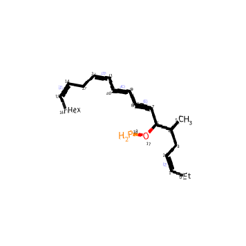 CC/C=C\CC(C)C(/C=C/C=C/C=C\C/C=C\CCCCCC)OP